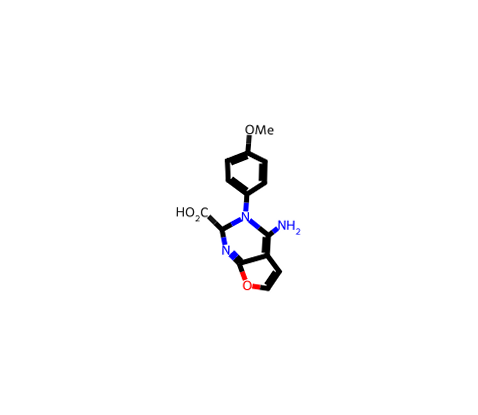 COc1ccc(N2C(N)=c3ccoc3=NC2C(=O)O)cc1